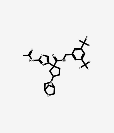 CC(=O)Nc1nc(C2(C(=O)NCc3cc(C(F)(F)F)cc(C(F)(F)F)c3)CCC(N3CC4CC3CO4)C2)cs1